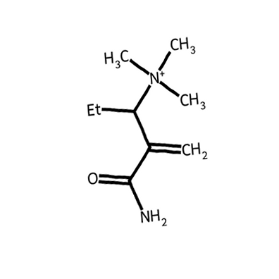 C=C(C(N)=O)C(CC)[N+](C)(C)C